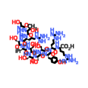 CC(C)[C@H](NC(=O)[C@H](CO)NC(=O)[C@H](CCCNC(=N)N)NC(=O)[C@@H](NC(=O)[C@@H](N)CO)[C@@H](C)O)C(=O)N[C@@H](CO)C(=O)N[C@@H](CO)C(=O)N[C@@H](CO)C(=O)N[C@@H](CO)C(=O)N[C@@H](Cc1ccc(O)cc1)C(=O)N[C@@H](CCCNC(=N)N)C(=O)N[C@@H](CCCNC(=N)N)C(=O)O